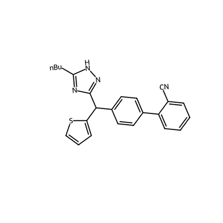 CCCCc1nc(C(c2ccc(-c3ccccc3C#N)cc2)c2cccs2)n[nH]1